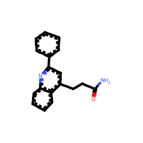 NC(=O)CCc1cc(-c2ccccc2)nc2ccccc12